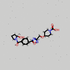 C[C@@]1(O)CCCN1C(=O)c1ccc(-c2nc(COC3CCN(C(=O)O)CC3)no2)cc1